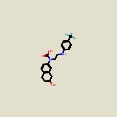 O=C(O)N(CCNc1ccc(C(F)(F)F)cc1)c1ccc2c(c1)CC(O)CC2